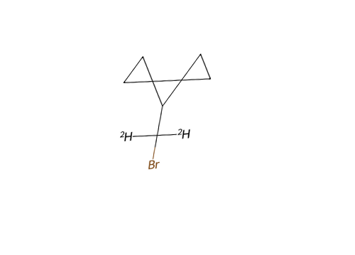 [2H]C([2H])(Br)C1C2(CC2)C12CC2